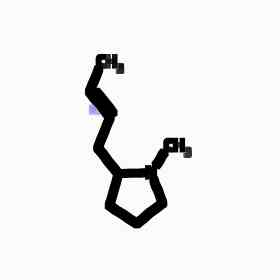 C/C=C/CC1CCCN1C